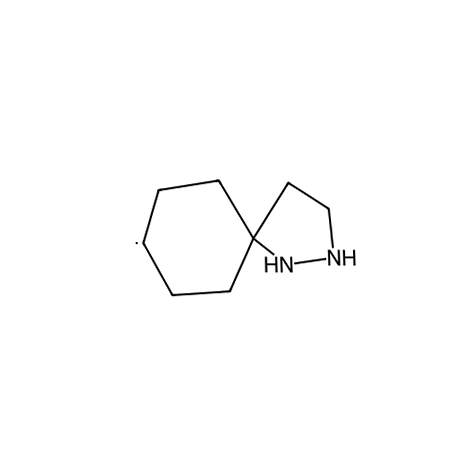 [CH]1CCC2(CC1)CCNN2